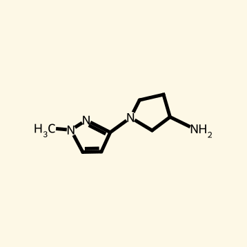 Cn1ccc(N2CCC(N)C2)n1